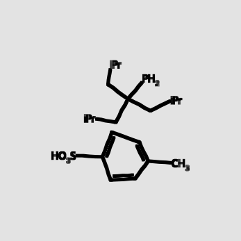 CC(C)CC(P)(CC(C)C)CC(C)C.Cc1ccc(S(=O)(=O)O)cc1